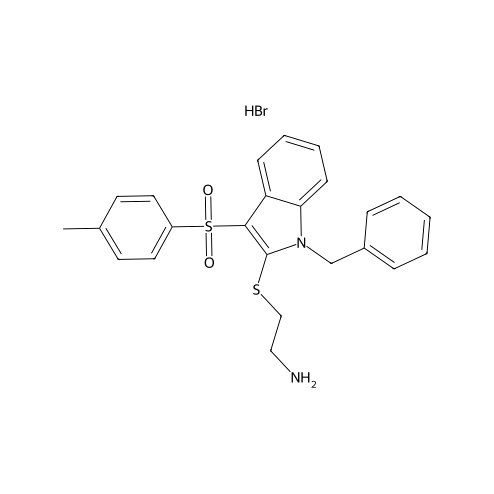 Br.Cc1ccc(S(=O)(=O)c2c(SCCN)n(Cc3ccccc3)c3ccccc23)cc1